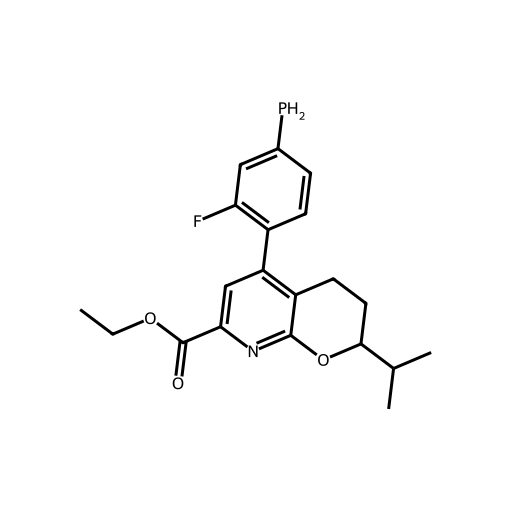 CCOC(=O)c1cc(-c2ccc(P)cc2F)c2c(n1)OC(C(C)C)CC2